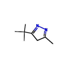 CC1=NN=C(C(C)(C)C)C1